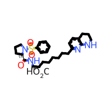 O=C(O)[C@H](CCCCCCCc1ccc2c(n1)NCCC2)NC(=O)[C@@H]1CCCN1S(=O)(=O)c1ccccc1